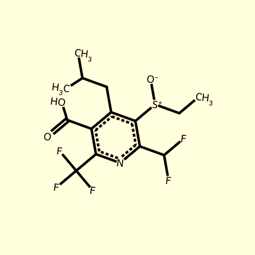 CC[S+]([O-])c1c(C(F)F)nc(C(F)(F)F)c(C(=O)O)c1CC(C)C